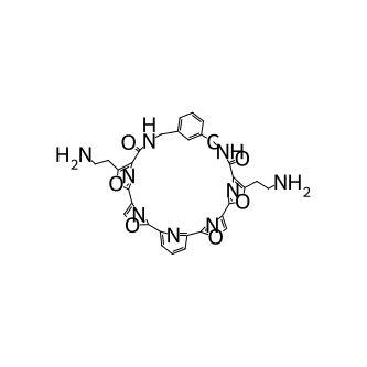 NCCc1oc2nc1C(=O)NCc1cccc(c1)CNC(=O)c1nc(oc1CCN)-c1coc(n1)-c1cccc(n1)-c1nc-2co1